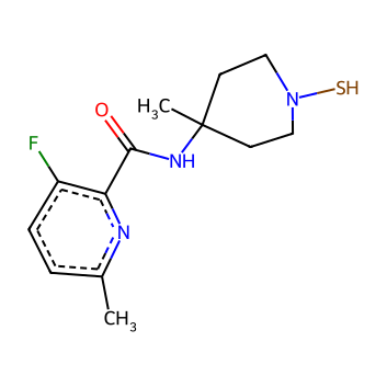 Cc1ccc(F)c(C(=O)NC2(C)CCN(S)CC2)n1